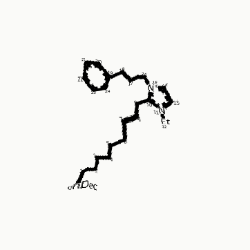 CCCCCCCCCCCCCCCCCCCc1n(CC)cc[n+]1CCCc1ccccc1